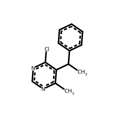 Cc1ncnc(Cl)c1C(C)c1ccccc1